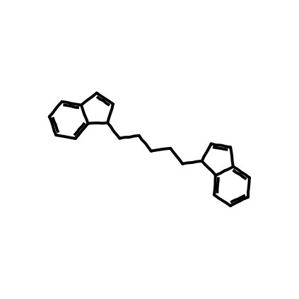 C1=CC(CCCCCC2C=Cc3ccccc32)c2ccccc21